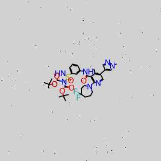 Cc1c(-c2cnn(C)c2)cnc(N2CCCC(F)(F)CC2)c1C(=O)Nc1cccc(S(=N)(=O)N(C(=O)OC(C)(C)C)C(=O)OC(C)(C)C)c1